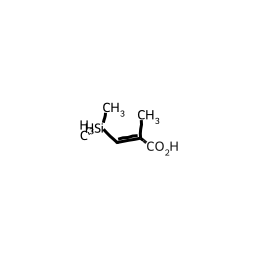 CC(=C[SiH](C)C)C(=O)O